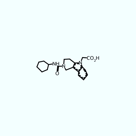 O=C(O)Cn1c2c(c3ccccc31)CN(C(=O)NC1CCCCC1)CC2